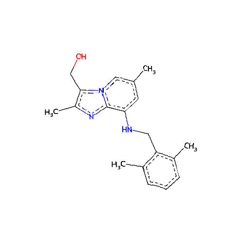 Cc1cc(NCc2c(C)cccc2C)c2nc(C)c(CO)n2c1